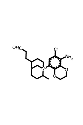 CC1CCC2C[N+]1(c1cc(Cl)c(N)c3c1OCCO3)CCC2CCC=O